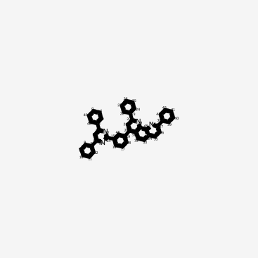 c1ccc(-c2cc(-c3ccccc3)nc(-c3cccc(-c4cc(-c5ccccc5)nc5c4ccc4ccc(-c6ccccc6)nc45)c3)n2)cc1